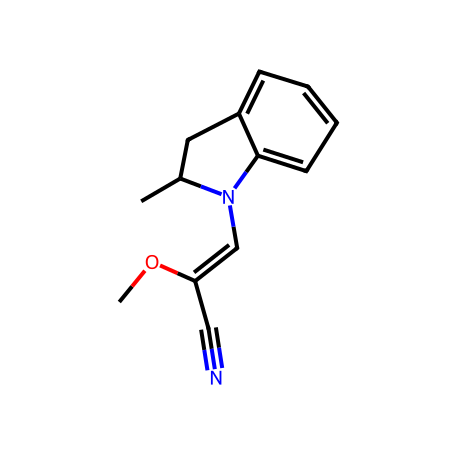 COC(C#N)=CN1c2ccccc2CC1C